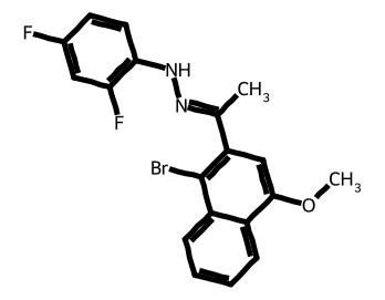 COc1cc(C(C)=NNc2ccc(F)cc2F)c(Br)c2ccccc12